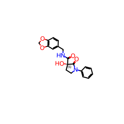 O=C(NCc1ccc2c(c1)OCO2)[C@@]1(O)CCN(c2ccccc2)C1=O